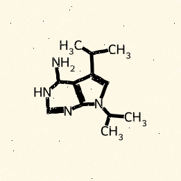 CC(C)c1cn(C(C)C)c2c1C(N)NC=N2